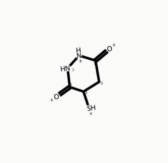 O=C1CC(S)C(=O)NN1